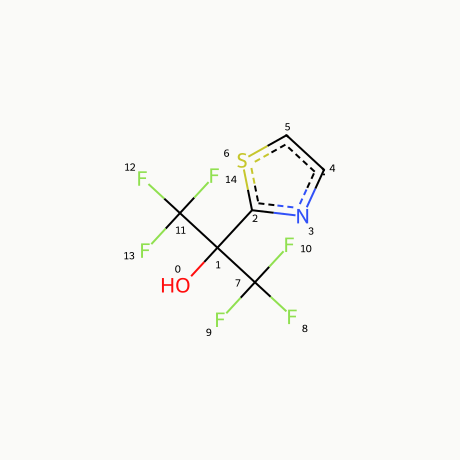 OC(c1n[c]cs1)(C(F)(F)F)C(F)(F)F